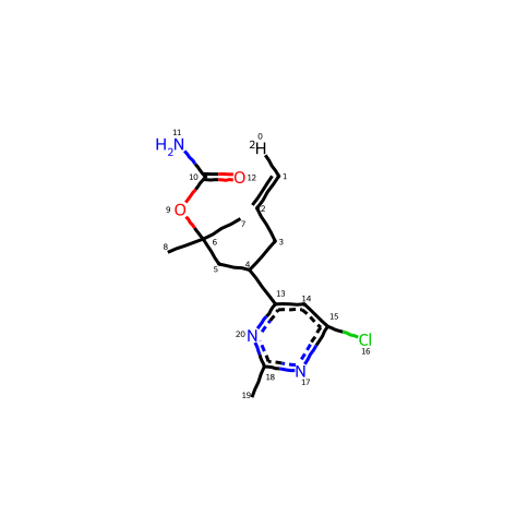 [2H]/C=C/CC(CC(C)(C)OC(N)=O)c1cc(Cl)nc(C)n1